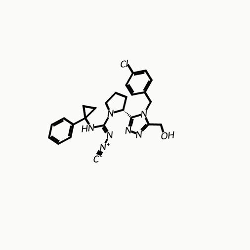 [C-]#[N+]/N=C(\NC1(c2ccccc2)CC1)N1CCC[C@@H]1c1nnc(CO)n1Cc1ccc(Cl)cc1